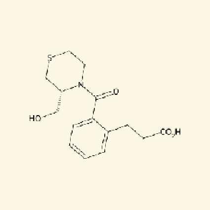 O=C(O)CCc1ccccc1C(=O)N1CCSC[C@H]1CO